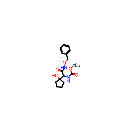 CC(C)(C)OC(=O)NC(C(=O)NOCc1ccccc1)C1(O)CCCC1